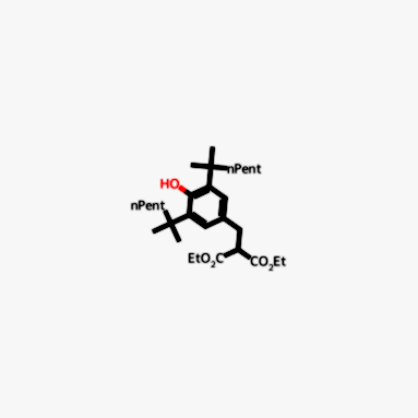 CCCCCC(C)(C)c1cc(CC(C(=O)OCC)C(=O)OCC)cc(C(C)(C)CCCCC)c1O